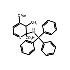 COC1=CC=NC(NC(c2ccccc2)(c2ccccc2)c2ccccc2)(C(=O)O)C1C